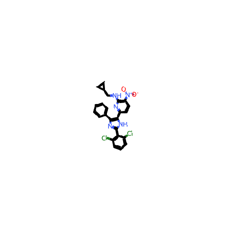 O=[N+]([O-])c1ccc(-c2[nH]c(-c3c(Cl)cccc3Cl)nc2-c2ccccc2)nc1NCC1CC1